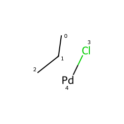 CCC.[Cl][Pd]